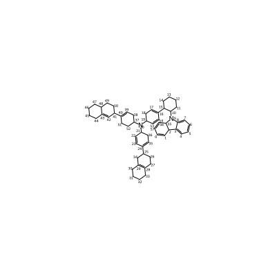 C1=CC2c3ccccc3N(C3CCCCC3C3=CCC(N(C4C=CC(C5CCC6=C(CCCC6)C5)=CC4)C4CC=C(C5C=C6CCCCC6CC5)CC4)C=C3)C2C=C1